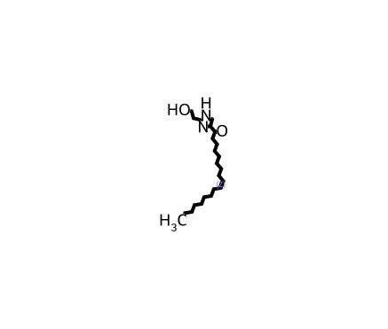 CCCCCCCC/C=C\CCCCCCCC(=O)C1CNC(CCO)=N1